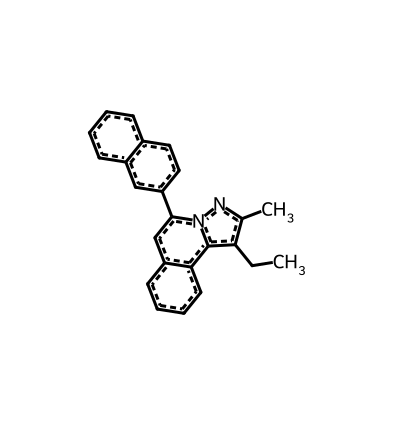 CCc1c(C)nn2c(-c3ccc4ccccc4c3)cc3ccccc3c12